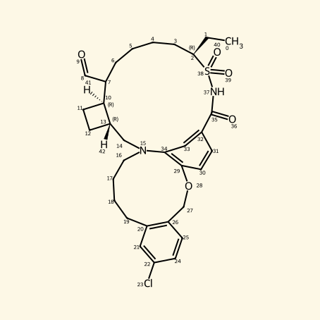 CC[C@@H]1CCCCC(C=O)[C@@H]2CC[C@H]2CN2CCCCc3cc(Cl)ccc3COc3ccc(cc32)C(=O)NS1(=O)=O